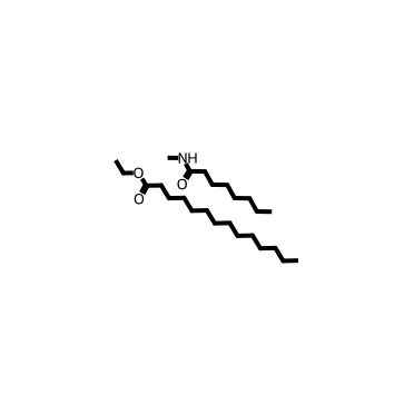 CCCCCCCC(=O)NC.CCCCCCCCCCCCCC(=O)OCC